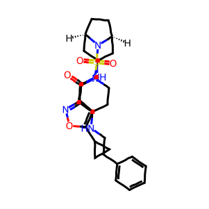 O=C(N[C@H]1C[C@H]2CC[C@@H](C1)N2S(=O)(=O)N1CCC(NCCc2ccccc2)CC1)c1cc(C2CC2)on1